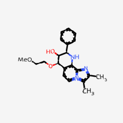 COCCO[C@@H]1c2ccn3c(C)c(C)nc3c2NC(c2ccccc2)C1O